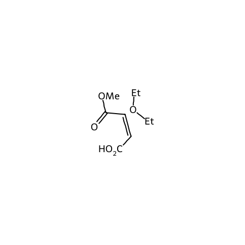 CCOCC.COC(=O)/C=C\C(=O)O